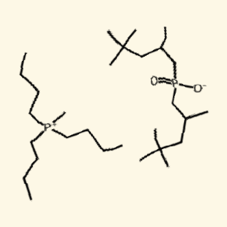 CC(CC(C)(C)C)CP(=O)([O-])CC(C)CC(C)(C)C.CCCC[P+](C)(CCCC)CCCC